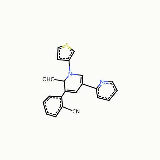 N#Cc1ccccc1C1=CC(c2ccccn2)=CN(c2ccsc2)C1C=O